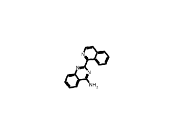 Nc1nc(-c2nccc3ccccc23)nc2ccccc12